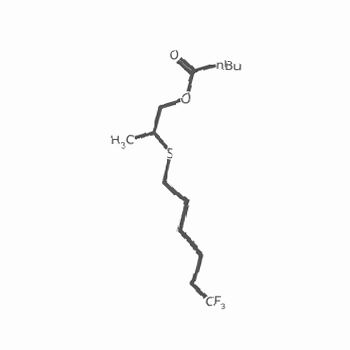 CCCCC(=O)OCC(C)SCCCCCC(F)(F)F